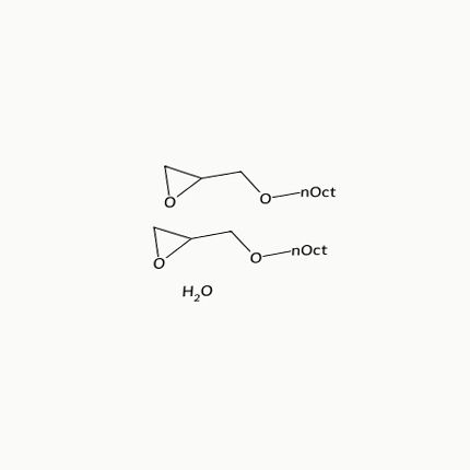 CCCCCCCCOCC1CO1.CCCCCCCCOCC1CO1.O